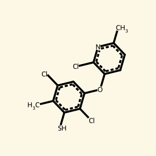 Cc1ccc(Oc2cc(Cl)c(C)c(S)c2Cl)c(Cl)n1